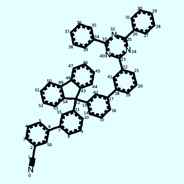 N#Cc1cccc(-c2cccc(C3(c4cccc(-c5cccc(-c6nc(-c7ccccc7)nc(-c7ccccc7)n6)c5)c4)c4ccccc4-c4ccccc43)c2)c1